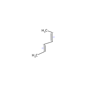 C/[C]=C\[C]=C\C